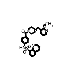 COc1ncccc1CN1CCN(C(=O)c2ccc(NS(=O)(=O)c3cccc4cccnc34)cc2)CC1